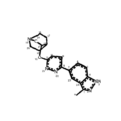 Cc1n[nH]c2ccc(-c3ccc(OC4CN5CCC4CC5)nn3)cc12